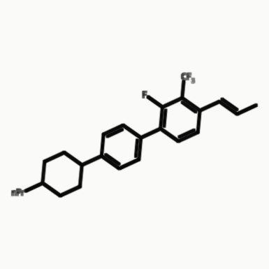 C/C=C/c1ccc(-c2ccc(C3CCC(CCC)CC3)cc2)c(F)c1C(F)(F)F